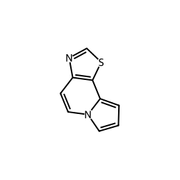 c1cc2c3scnc3ccn2c1